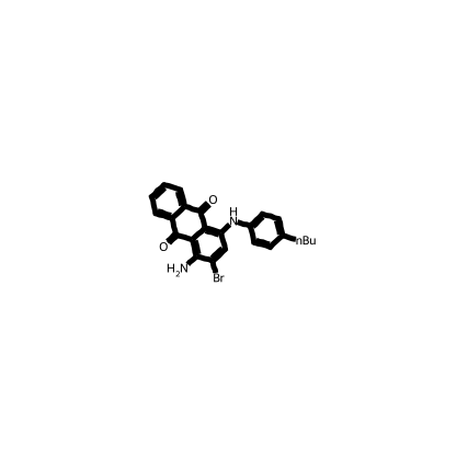 CCCCc1ccc(Nc2cc(Br)c(N)c3c2C(=O)c2ccccc2C3=O)cc1